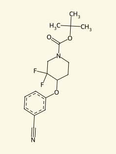 CC(C)(C)OC(=O)N1CCC(Oc2cccc(C#N)c2)C(F)(F)C1